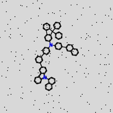 c1ccc(C2(c3ccccc3)c3ccccc3-c3ccc(N(c4ccc(-c5cccc(-c6ccc7c(c6)c6ccccc6n7-c6cccc7ccccc67)c5)cc4)c4ccc(-c5ccc6ccccc6c5)cc4)cc32)cc1